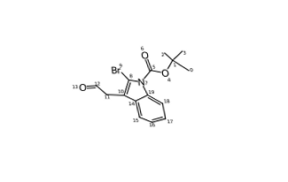 CC(C)(C)OC(=O)n1c(Br)c(CC=O)c2ccccc21